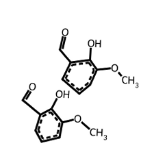 COc1cccc(C=O)c1O.COc1cccc(C=O)c1O